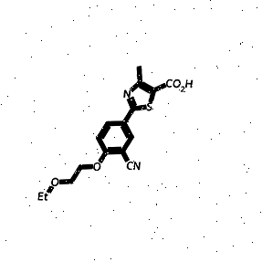 CCOCCOc1ccc(-c2nc(C)c(C(=O)O)s2)cc1C#N